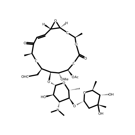 CO[C@@H]1[C@@H](O[C@@H]2O[C@H](C)[C@@H](O[C@H]3C[C@@](C)(O)[C@@H](O)[C@H](C)O3)[C@H](N(C)C)[C@H]2O)[C@@H](CC=O)C[C@@H](C)C(=O)/C=C/[C@@H]2O[C@H]2C[C@@H](C)OC(=O)C[C@H]1OC(C)=O